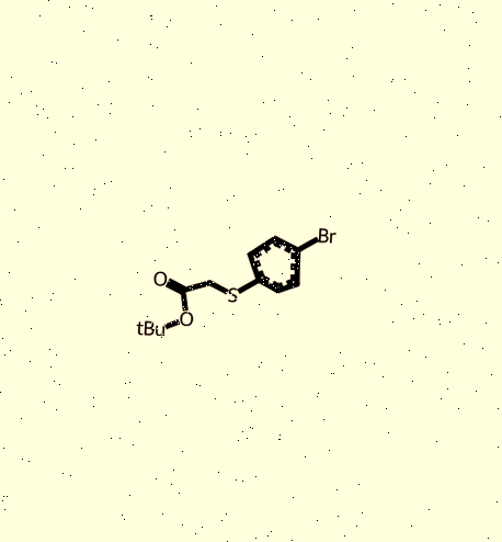 CC(C)(C)OC(=O)CSc1ccc(Br)cc1